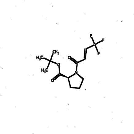 CC(C)(C)OC(=O)[C@@H]1CCCN1C(=O)/C=C/C(F)(F)F